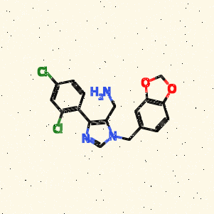 NCc1c(-c2ccc(Cl)cc2Cl)ncn1Cc1ccc2c(c1)OCO2